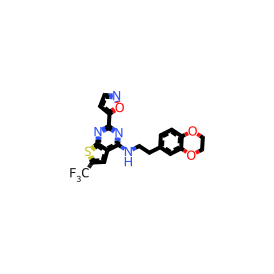 FC(F)(F)c1cc2c(NCCc3ccc4c(c3)OCCO4)nc(-c3ccno3)nc2s1